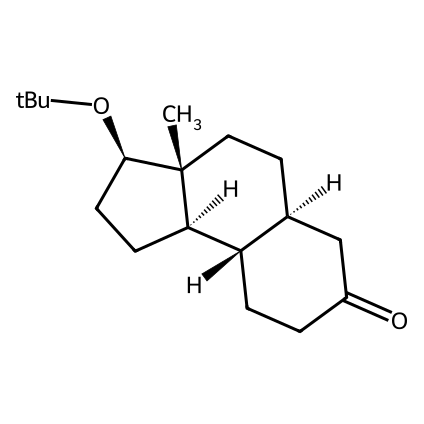 CC(C)(C)O[C@@H]1CC[C@@H]2[C@H]3CCC(=O)C[C@@H]3CC[C@]21C